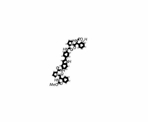 COC(=O)NC(C(=O)N1CCC[C@H]1C(=O)Nc1ccc2[nH]c(-c3ccc(NC(=O)[C@@H]4CCCN4C(=O)C(NC(=O)O)c4ccccc4)cc3)cc2c1)c1ccccc1